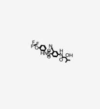 CC(C)[C@H](O)C(=O)Nc1ccc(S(=O)(=O)Nc2cccc(OC(F)(F)F)c2)c(C#N)c1